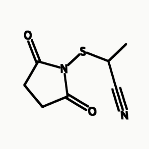 CC(C#N)SN1C(=O)CCC1=O